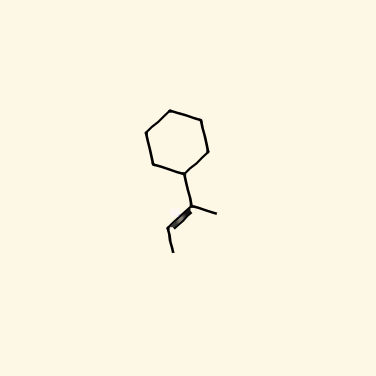 O=C([O-])/C=C(\C(=O)[O-])C1CCCCC1.[Cd+2]